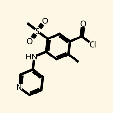 Cc1cc(Nc2cccnc2)c(S(C)(=O)=O)cc1C(=O)Cl